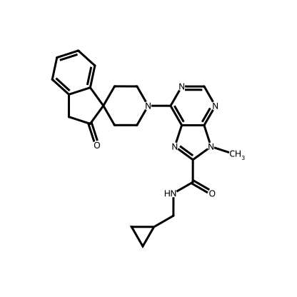 Cn1c(C(=O)NCC2CC2)nc2c(N3CCC4(CC3)C(=O)Cc3ccccc34)ncnc21